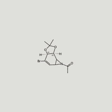 CC(=O)N1C2C=C(Br)[C@H]3OC(C)(C)O[C@H]3C21